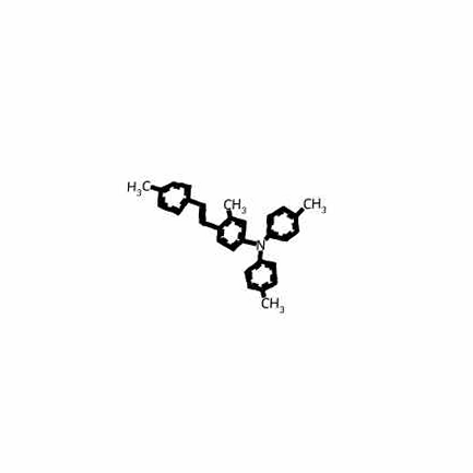 Cc1ccc(C=Cc2ccc(N(c3ccc(C)cc3)c3ccc(C)cc3)cc2C)cc1